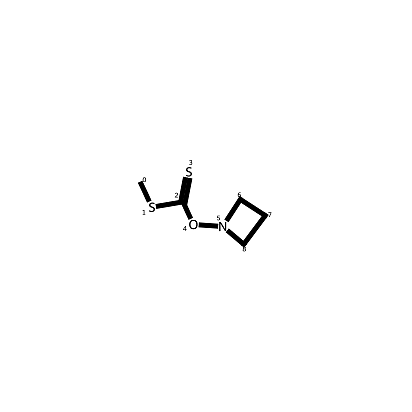 CSC(=S)ON1CCC1